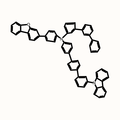 c1ccc(-c2cccc(-c3cccc(N(c4ccc(-c5ccc(-c6cccc(-n7c8ccccc8c8ccccc87)c6)cc5)cc4)c4ccc(-c5ccc6c(c5)oc5ccccc56)cc4)c3)c2)cc1